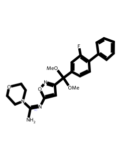 COC(OC)(c1ccc(-c2ccccc2)c(F)c1)c1cc(/N=C(/N)N2CCOCC2)on1